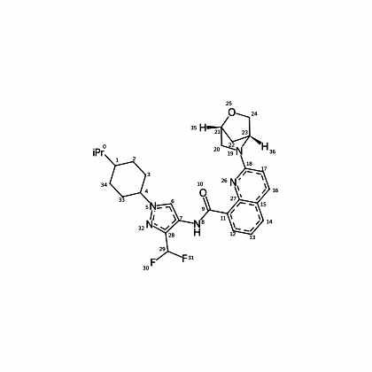 CC(C)C1CCC(n2cc(NC(=O)c3cccc4ccc(N5C[C@H]6C[C@@H]5CO6)nc34)c(C(F)F)n2)CC1